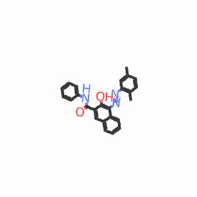 Cc1ccc(C)c(/N=N/c2c(O)c(C(=O)Nc3ccccc3)cc3ccccc23)c1